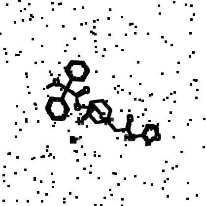 COC(C(=O)O[C@H]1C[N+]2(CC(=O)Nc3ccon3)CCC1CC2)(c1ccccc1)c1ccccc1.[Br-]